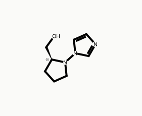 OC[C@@H]1CCCN1n1ccnc1